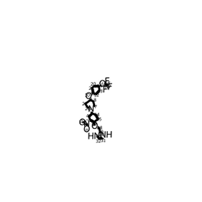 O=[N+]([O-])c1cc(N2CCC(Oc3ccc(OC(F)(F)F)cc3)CC2)ccc1OCC1NC=CN1